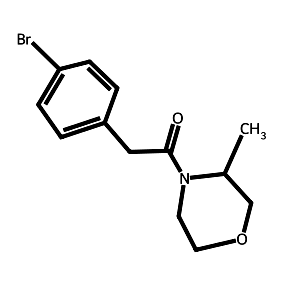 CC1COCCN1C(=O)Cc1ccc(Br)cc1